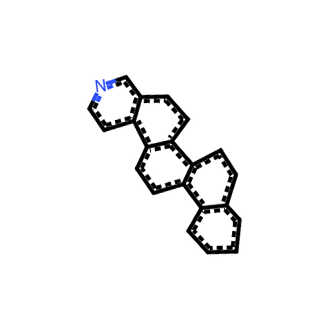 c1ccc2c(c1)ccc1c2ccc2c3ccncc3ccc21